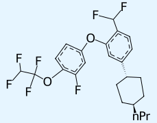 CCC[C@H]1CC[C@H](c2ccc(C(F)F)c(Oc3ccc(OC(F)(F)C(F)F)c(F)c3)c2)CC1